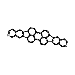 c1cc2cc3c(cc2cn1)-c1ccc2c4ccc5c6c(ccc(c7ccc-3c1c72)c64)-c1cc2ccncc2cc1-5